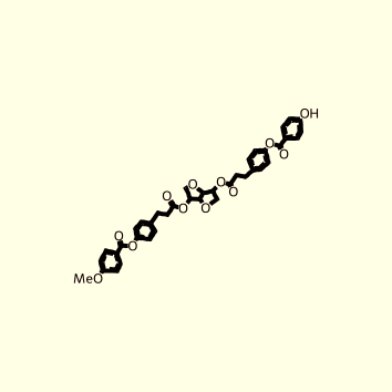 COc1ccc(C(=O)Oc2ccc(CCC(=O)OC3COC4C(OC(=O)CCc5ccc(OC(=O)c6ccc(O)cc6)cc5)COC34)cc2)cc1